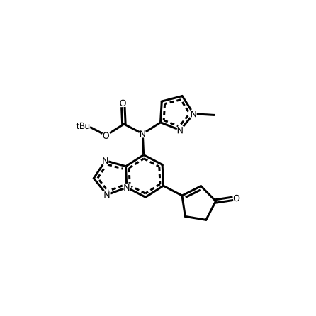 Cn1ccc(N(C(=O)OC(C)(C)C)c2cc(C3=CC(=O)CC3)cn3ncnc23)n1